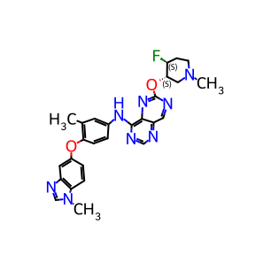 Cc1cc(Nc2ncnc3cnc(O[C@H]4CN(C)CC[C@@H]4F)nc23)ccc1Oc1ccc2c(c1)ncn2C